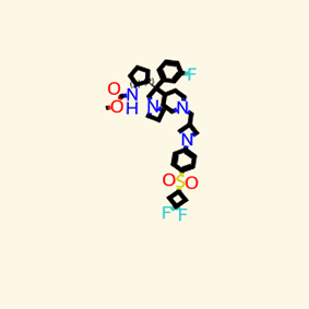 COC(=O)N[C@H]1CCC[C@@H]1C(CN1CCC1)(c1cccc(F)c1)C1CCN(CC2CN(c3ccc(S(=O)(=O)C4CC(F)(F)C4)cc3)C2)CC1